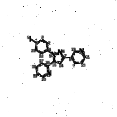 Ic1ccc(-n2nc(-c3cccnc3)cc2-c2ccccn2)cc1